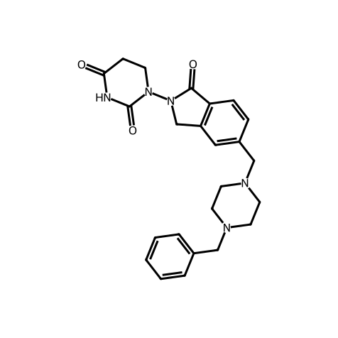 O=C1CCN(N2Cc3cc(CN4CCN(Cc5ccccc5)CC4)ccc3C2=O)C(=O)N1